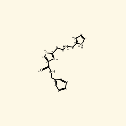 O=C(NCc1ccccc1)c1csc(CCNCc2ncc[nH]2)n1